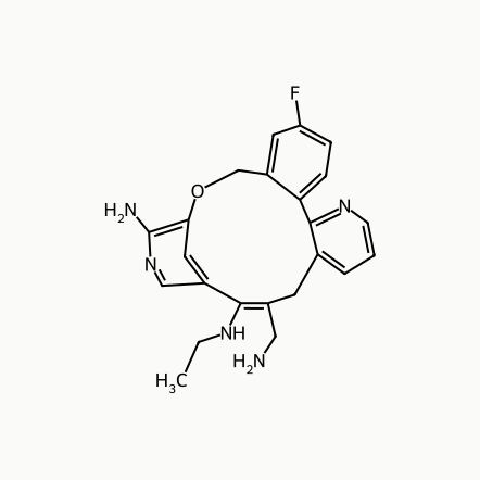 CCN/C1=C(\CN)Cc2cccnc2-c2ccc(F)cc2COc2cc1cnc2N